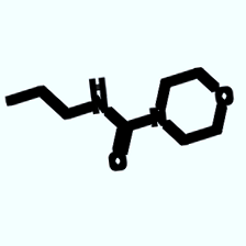 CCCNC(=O)N1CCOCC1